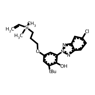 C=C[Si](C)(C)CCCOc1cc(-n2nc3ccc(Cl)cc3n2)c(O)c(C(C)(C)C)c1